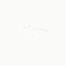 [H+].[Li][CH2]CCCCC